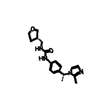 Cc1nccn1[C@H](C)c1ccc(NC(=O)NC[C@@H]2CCOC2)cc1